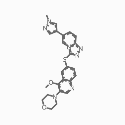 COc1c(N2CCOCC2)cnc2ccc(Sc3nnc4ccc(-c5cnn(C)c5)cn34)cc12